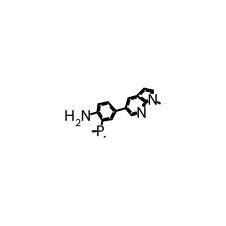 Cn1ccc2cc(-c3ccc(N)c(P(C)C)c3)cnc21